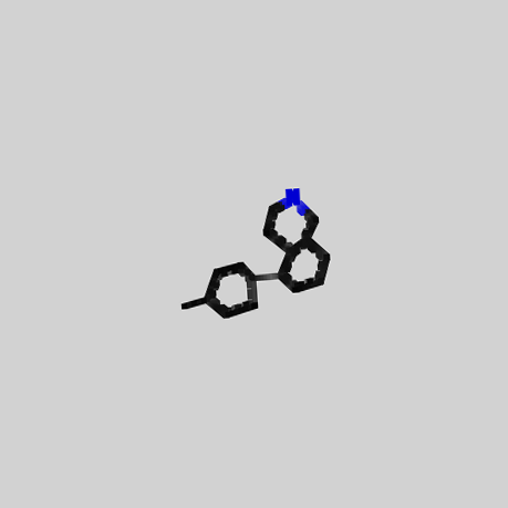 Cc1ccc(-c2cccc3cnccc23)cc1